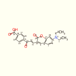 CCN(CC)c1ccc2cc(/C=C/C(=O)c3ccc(C(=O)O)cc3)c(=O)oc2c1